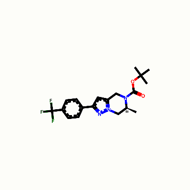 C[C@H]1Cn2nc(-c3ccc(C(F)(F)F)cc3)cc2CN1C(=O)OC(C)(C)C